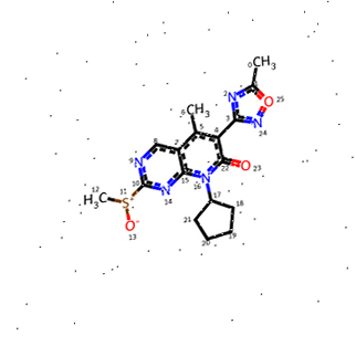 Cc1nc(-c2c(C)c3cnc([S+](C)[O-])nc3n(C3CCCC3)c2=O)no1